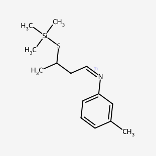 Cc1cccc(/N=C\CC(C)S[Si](C)(C)C)c1